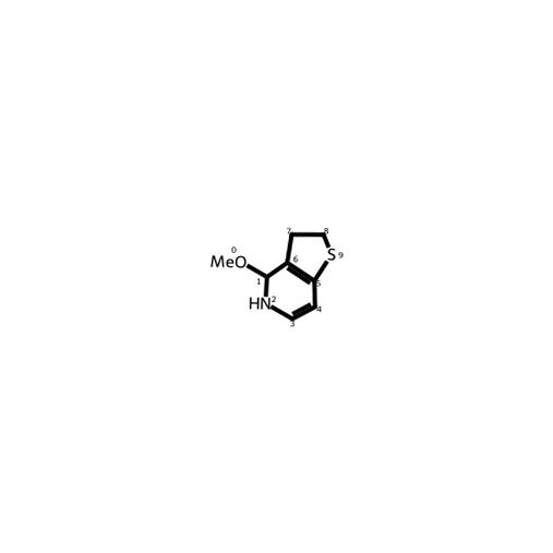 COC1NC=CC2=C1CCS2